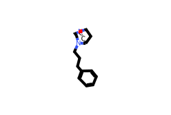 c1ccc(CCCN2CCN3CCC2CC3)cc1